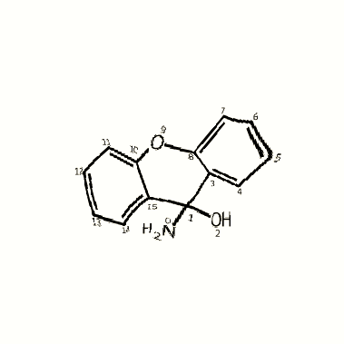 NC1(O)c2ccccc2Oc2ccccc21